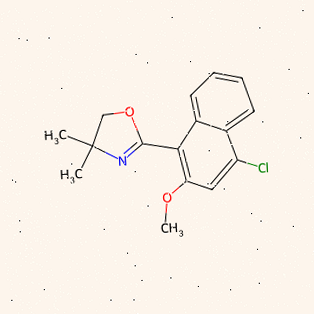 COc1cc(Cl)c2ccccc2c1C1=NC(C)(C)CO1